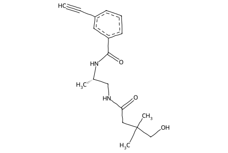 C#Cc1cccc(C(=O)N[C@@H](C)CNC(=O)CC(C)(C)CO)c1